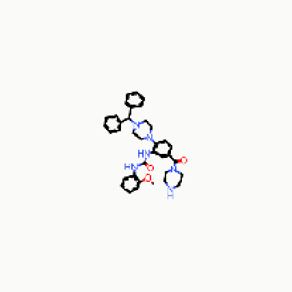 COc1ccccc1NC(=O)Nc1cc(C(=O)N2CCNCC2)ccc1N1CCN(C(c2ccccc2)c2ccccc2)CC1